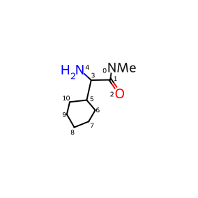 CNC(=O)C(N)C1CCCCC1